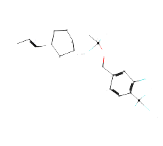 C/C=C/[C@H]1CC[C@H](CC(F)(F)OCc2ccc(C(F)(F)F)c(F)c2)CC1